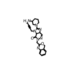 CC#CCN1C(N2CCCC(N)C2)=NC2C=NN(CC3=Nc4ccccc4CO3)C(=O)C21